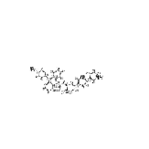 CC(C)c1ccc(-c2c3ccccc3c(-c3ccc4ccc(-c5ccc(C6=CNCC=C6)nc5)cc4c3)c3ccccc23)cc1